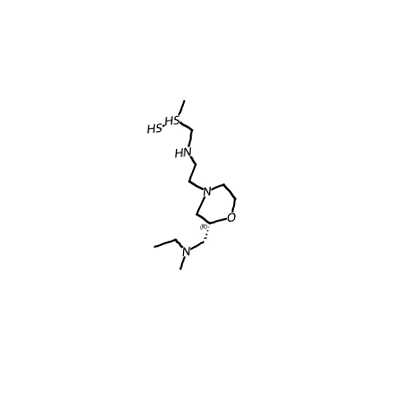 CCN(C)C[C@@H]1CN(CCNC[SH](C)S)CCO1